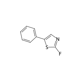 Fc1ncc(-c2ccccc2)s1